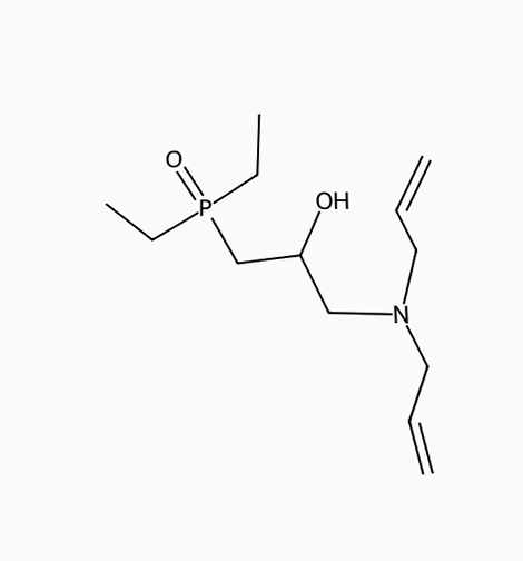 C=CCN(CC=C)CC(O)CP(=O)(CC)CC